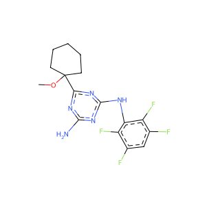 COC1(c2nc(N)nc(Nc3c(F)c(F)cc(F)c3F)n2)CCCCC1